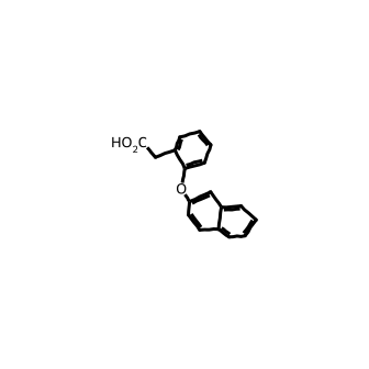 O=C(O)Cc1ccccc1Oc1ccc2ccccc2c1